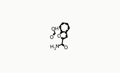 NC(=O)c1cc2ccccc2o1.O=CO